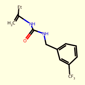 C=C(CC)NC(=O)NCc1cccc(C(F)(F)F)c1